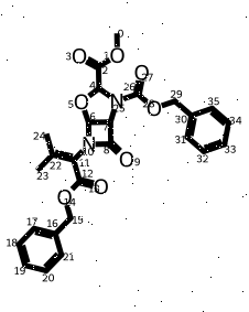 COC(=O)C1OC2C(C(=O)N2C(C(=O)OCc2ccccc2)=C(C)C)N1C(=O)OCc1ccccc1